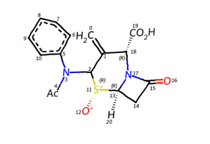 C=C1C(N(C(C)=O)c2ccccc2)[S@@+]([O-])[C@@H]2CC(=O)N2[C@H]1C(=O)O